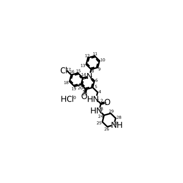 Cl.O=C(NCc1cn(-c2ccccc2)c2cc(Cl)ccc2c1=O)NC1CCNCC1